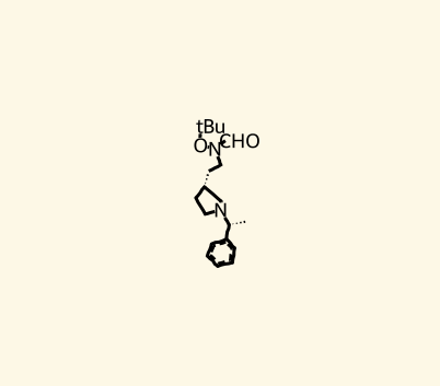 C[C@H](c1ccccc1)N1CC[C@H](CCN(C=O)OC(C)(C)C)C1